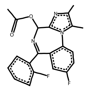 CC(=O)OC1N=C(c2ccccc2F)c2cc(F)ccc2-n2c1nc(C)c2C